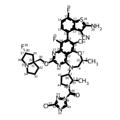 C[C@@H]1[C@H](N2C[C@H](C)Oc3c(Cl)c(-c4ccc(F)c5sc(N)c(C#N)c45)c(F)c4nc(OC[C@@]56CCCN5C[C@H](F)C6)nc2c34)CCN1C(=O)n1cnc(Cl)n1